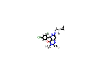 Cc1nc2cc(N3CC[C@H](C4CC4)C3)nc(-c3ccc(Cl)cc3F)c2c(=O)n1C